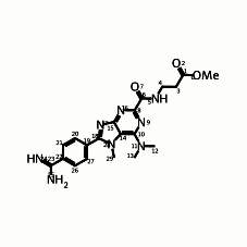 COC(=O)CCNC(=O)c1nc(N(C)C)c2c(n1)nc(-c1ccc(C(=N)N)cc1)n2C